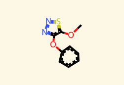 COc1snnc1Oc1ccccc1